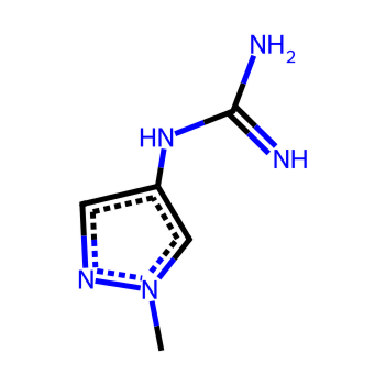 Cn1cc(NC(=N)N)cn1